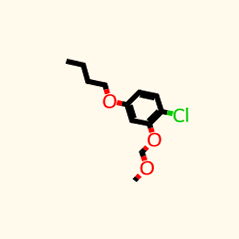 CCCCOc1ccc(Cl)c(OCOC)c1